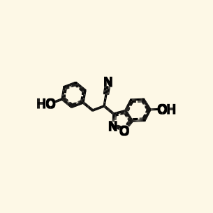 N#CC(Cc1cccc(O)c1)c1noc2cc(O)ccc12